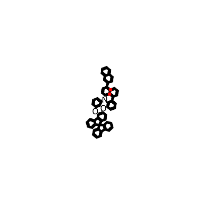 C1=CC2=C(CC1)C1(c3ccccc32)c2ccccc2-c2c1ccc1c2Oc2cccc(N(c3ccc(-c4ccc5ccccc5c4)cc3)c3ccccc3-c3ccccc3)c2O1